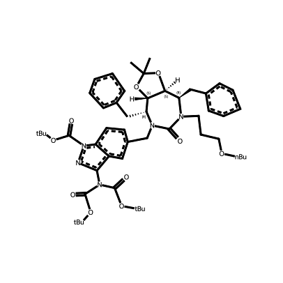 CCCCOCCCN1C(=O)N(Cc2ccc3c(c2)c(N(C(=O)OC(C)(C)C)C(=O)OC(C)(C)C)nn3C(=O)OC(C)(C)C)[C@H](Cc2ccccc2)[C@@H]2OC(C)(C)O[C@H]2[C@H]1Cc1ccccc1